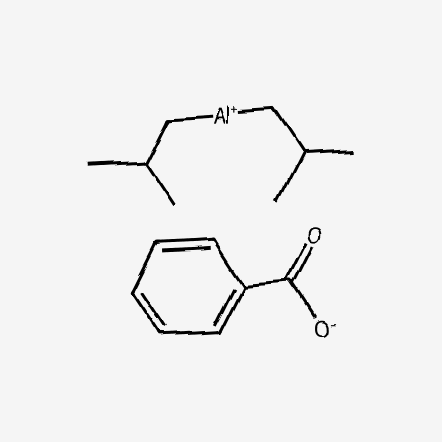 CC(C)[CH2][Al+][CH2]C(C)C.O=C([O-])c1ccccc1